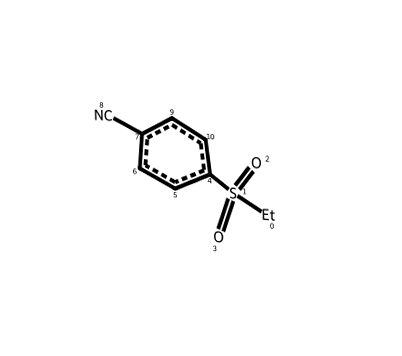 [CH2]CS(=O)(=O)c1ccc(C#N)cc1